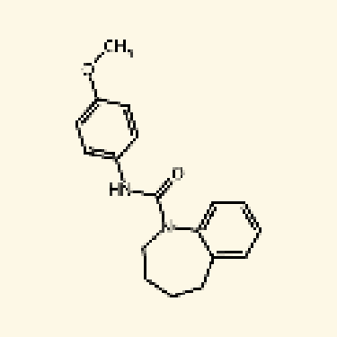 COc1ccc(NC(=O)N2CCCCc3ccccc32)cc1